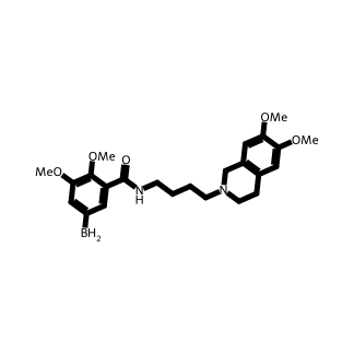 Bc1cc(OC)c(OC)c(C(=O)NCCCCN2CCc3cc(OC)c(OC)cc3C2)c1